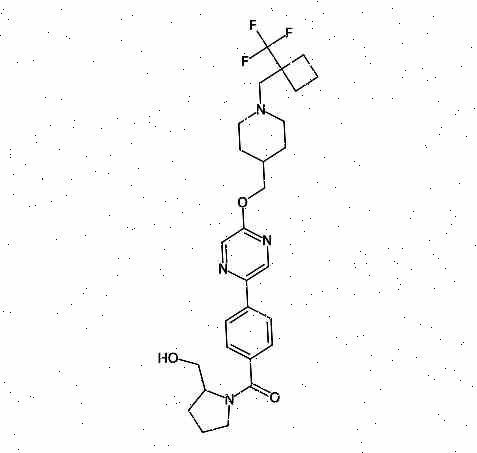 O=C(c1ccc(-c2cnc(OCC3CCN(CC4(C(F)(F)F)CCC4)CC3)cn2)cc1)N1CCCC1CO